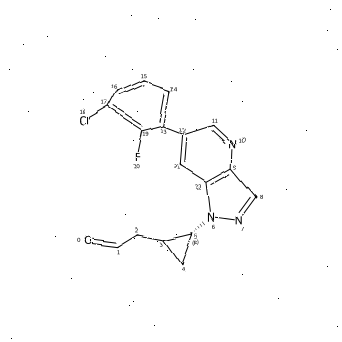 O=CCC1C[C@H]1n1ncc2ncc(-c3cccc(Cl)c3F)cc21